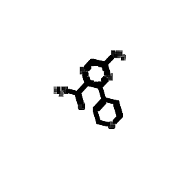 NC(=O)c1ncc(N)nc1C1=CCOC=C1